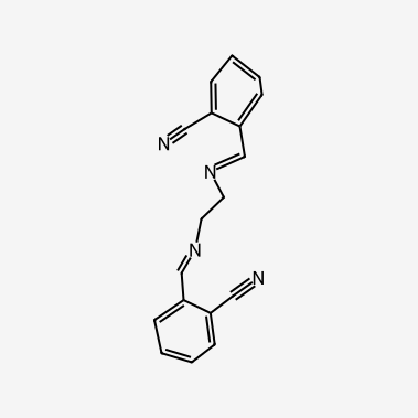 N#Cc1ccccc1/C=N/CC/N=C/c1ccccc1C#N